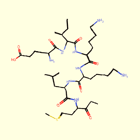 CCC(=O)C(CCSC)NC(=O)C(CC(C)C)NC(=O)C(CCCCN)NC(=O)C(CCCCN)NC(=O)C(NC(=O)C(N)CCC(=O)O)C(C)CC